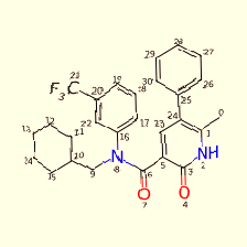 Cc1[nH]c(=O)c(C(=O)N(CC2CCCCC2)c2cccc(C(F)(F)F)c2)cc1-c1ccccc1